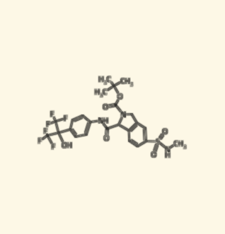 CNS(=O)(=O)c1ccc2c(c1)CN(C(=O)OC(C)(C)C)C2C(=O)Nc1ccc(C(O)(C(F)(F)F)C(F)(F)F)cc1